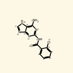 Nc1nc(NC(=O)c2ccccc2Cl)nc2nc[nH]c12